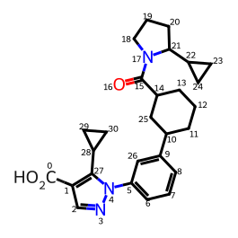 O=C(O)c1cnn(-c2cccc(C3CCCC(C(=O)N4CCCC4C4CC4)C3)c2)c1C1CC1